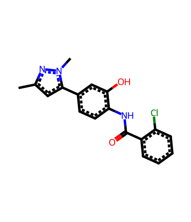 Cc1cc(-c2ccc(NC(=O)c3ccccc3Cl)c(O)c2)n(C)n1